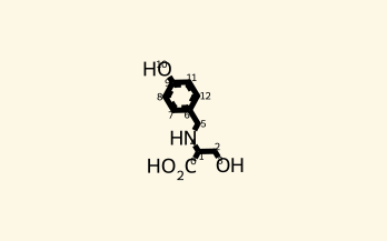 O=C(O)C(CO)NCc1ccc(O)cc1